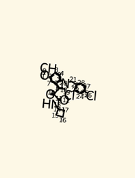 COc1ccc2c(c1)c(C(=O)C(=O)NC1CCC1)c(Cl)n2Cc1ccc(Cl)cc1